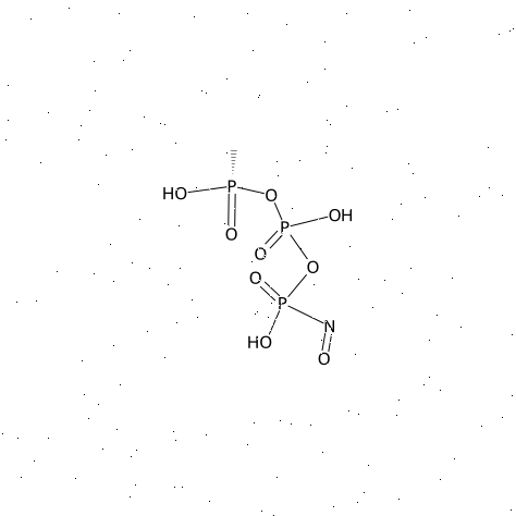 C[P@](=O)(O)OP(=O)(O)OP(=O)(O)N=O